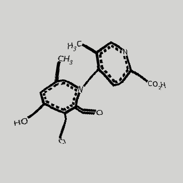 Cc1cnc(C(=O)O)cc1-n1c(C)cc(O)c(Cl)c1=O